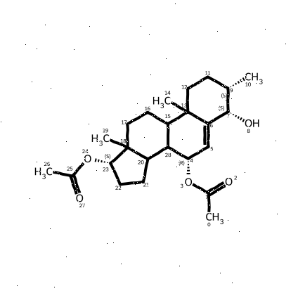 CC(=O)O[C@H]1C=C2[C@@H](O)[C@@H](C)CCC2(C)C2CCC3(C)C(CC[C@@H]3OC(C)=O)C21